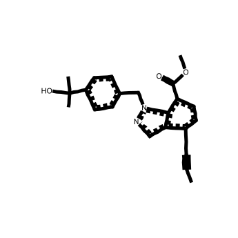 CC#Cc1ccc(C(=O)OC)c2c1cnn2Cc1ccc(C(C)(C)O)cc1